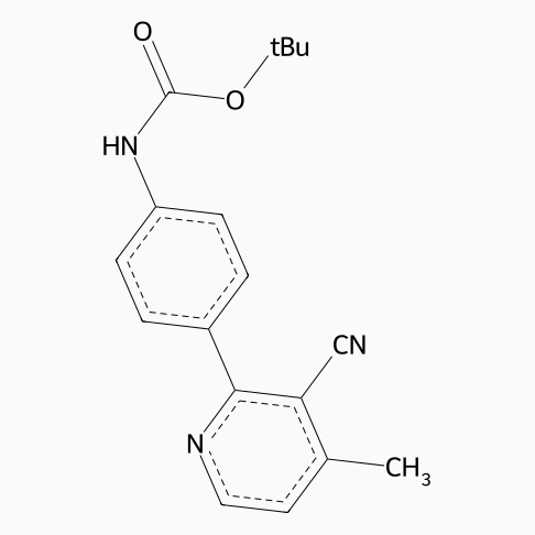 Cc1ccnc(-c2ccc(NC(=O)OC(C)(C)C)cc2)c1C#N